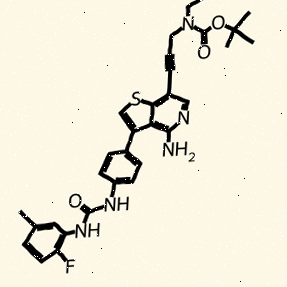 CCN(CC#Cc1cnc(N)c2c(-c3ccc(NC(=O)Nc4cc(C)ccc4F)cc3)csc12)C(=O)OC(C)(C)C